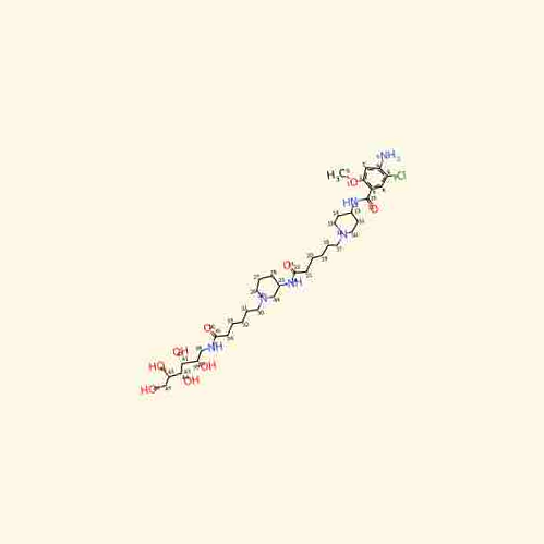 COc1cc(N)c(Cl)cc1C(=O)NC1CCN(CCCCCC(=O)N[C@@H]2CCCN(CCCCCC(=O)NC[C@H](O)[C@@H](O)[C@H](O)[C@H](O)CO)C2)CC1